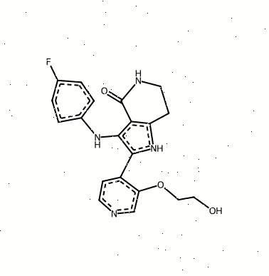 O=C1NCCc2[nH]c(-c3ccncc3OCCO)c(Nc3ccc(F)cc3)c21